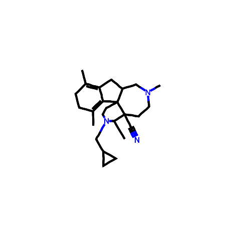 CC1=C2CC3CN(C)CCC4(C#N)C(C)N(CC5CC5)CCC34C2=C(C)CC1